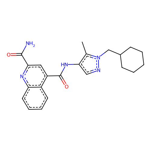 Cc1c(NC(=O)c2cc(C(N)=O)nc3ccccc23)cnn1CC1CCCCC1